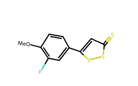 COc1ccc(-c2cc(=S)ss2)cc1F